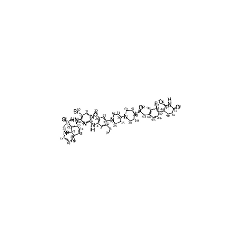 CCc1cc(Nc2ncc(Br)c(Nc3ccc4nccnc4c3P(C)(C)=O)n2)c(OC)cc1N1CCC(N2CCN(C(=O)Cc3ccc(C4CCC(=O)NC4=O)c(F)c3)CC2)CC1